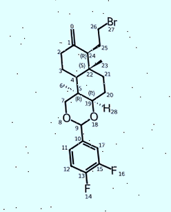 C=C1CCC2[C@]3(C)COC(c4ccc(F)c(F)c4)O[C@@H]3CC[C@@]2(C)[C@@H]1CCBr